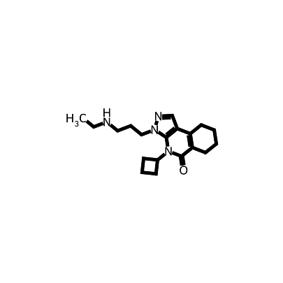 CCNCCCn1ncc2c3c(c(=O)n(C4CCC4)c21)CCCC3